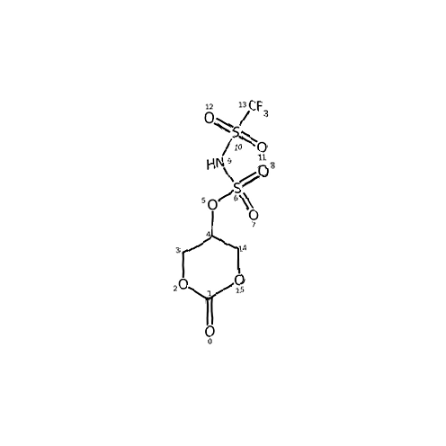 O=C1OCC(OS(=O)(=O)NS(=O)(=O)C(F)(F)F)CO1